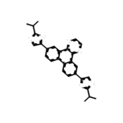 CC(C)c1ncc(-c2ccc3c4ccc(-c5cnc(C(C)C)[nH]5)cc4c4nccnc4c3c2)[nH]1